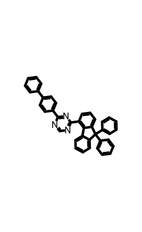 c1ccc(-c2ccc(-c3ncnc(-c4cccc5c4-c4ccccc4C5(c4ccccc4)c4ccccc4)n3)cc2)cc1